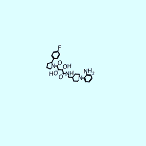 Nc1ccccc1N1CCC(CNC(=O)[C@H](O)[C@@H](O)C(=O)N2CCCC2c2ccc(F)cc2)CC1